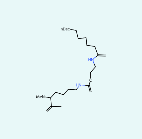 C=C(CCCCCCCCCCCCCCC)NCCCC(=C)NCCCCC(NC)C(=C)C